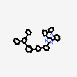 c1ccc(-c2cc(-c3ccccc3)cc(-c3cccc(-c4ccc(-c5cccc(-c6nc(-c7ccccc7)c7c(n6)c6ccccc6n7-c6ccccc6)c5)cc4)c3)c2)cc1